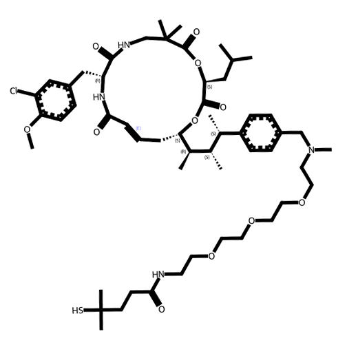 COc1ccc(C[C@H]2NC(=O)/C=C/C[C@@H]([C@H](C)[C@@H](C)[C@H](C)c3ccc(CN(C)CCOCCOCCOCCNC(=O)CCC(C)(C)S)cc3)OC(=O)[C@H](CC(C)C)OC(=O)C(C)(C)CNC2=O)cc1Cl